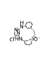 [O-][S+]1CCc2cccc(c2)Nc2ncc(Cl)c(n2)Nc2cccc1c2